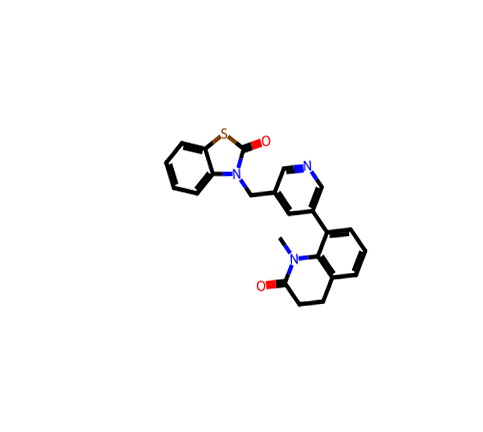 CN1C(=O)CCc2cccc(-c3cncc(Cn4c(=O)sc5ccccc54)c3)c21